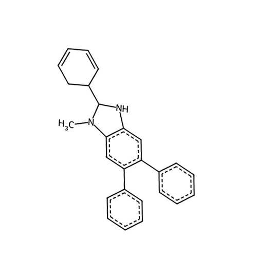 CN1c2cc(-c3ccccc3)c(-c3ccccc3)cc2NC1C1C=CC=CC1